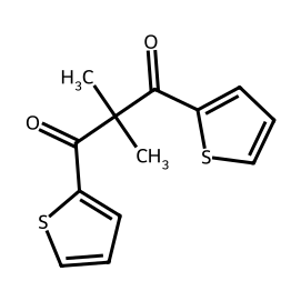 CC(C)(C(=O)c1cccs1)C(=O)c1cccs1